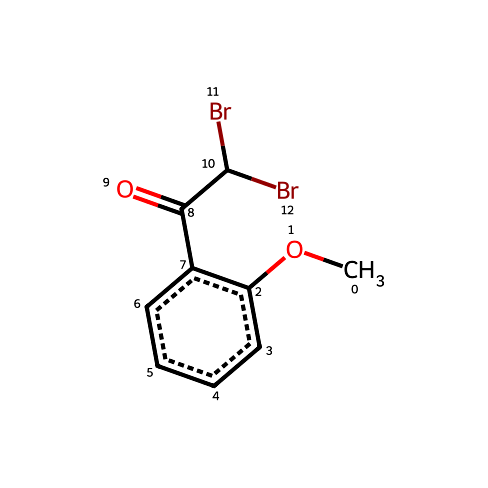 COc1ccccc1C(=O)C(Br)Br